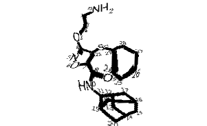 NCCOc1noc(C(=O)NC2C3CC4CC(C3)CC2C4)c1Sc1ccccc1